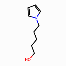 OCCCCCn1cccc1